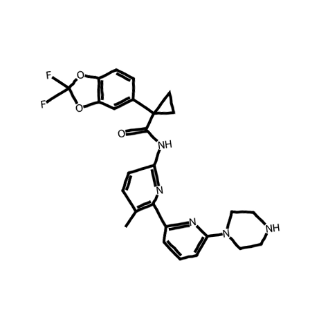 Cc1ccc(NC(=O)C2(c3ccc4c(c3)OC(F)(F)O4)CC2)nc1-c1cccc(N2CCNCC2)n1